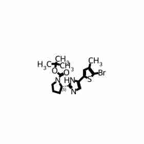 Cc1cc(-c2cnc([C@@H]3CCCN3C(=O)OC(C)(C)C)[nH]2)sc1Br